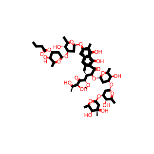 CCCC(=O)O[C@@H]1C[C@H](O[C@@H]2C[C@H](Oc3cc4cc5c(c(O)c4c(O)c3C)C(=O)[C@@H](O[C@H]3C[C@@H](O[C@H]4C[C@@H](O[C@H]6C[C@](C)(O)[C@H](O)C(C)O6)[C@@H](O)C(C)O4)[C@H](O)C(C)O3)[C@H]([C@H](OC)C(=O)[C@@H](O)[C@@H](C)O)C5)OC(C)[C@H]2O)OC(C)[C@H]1O